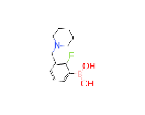 OB(O)c1cccc(CN2CCCCC2)c1F